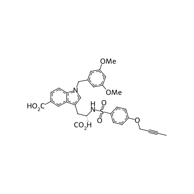 CC#CCOc1ccc(S(=O)(=O)N[C@@H](Cc2cn(Cc3cc(OC)cc(OC)c3)c3ccc(C(=O)O)cc23)C(=O)O)cc1